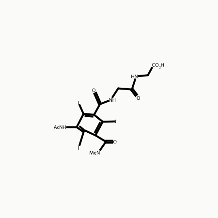 CNC(=O)c1c(I)c(NC(C)=O)c(I)c(C(=O)NCC(=O)NCC(=O)O)c1I